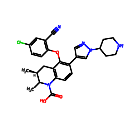 CC1[C@@H](C)Cc2c(ccc(-c3cnn(C4CCNCC4)c3)c2Oc2ccc(Cl)cc2C#N)N1C(=O)O